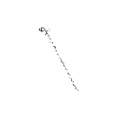 CCCCCCCCCCCCCCCCCCCCCCCCCCCCCOC(=O)c1ccon1